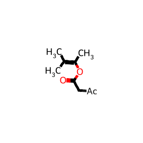 CC(=O)CC(=O)OC(C)=C(C)C